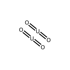 [O]=[U]=[O].[O]=[U]=[O]